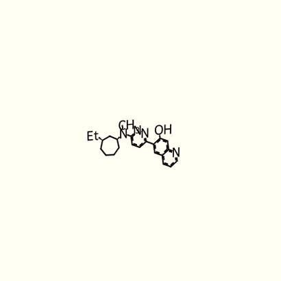 CC[C@@H]1CCCC[C@H](N(C)c2ccc(-c3cc4cccnc4cc3O)nn2)C1